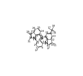 Cc1cc2c3c(c1)-n1c(C)c(C)c4cc(C(C)(C)C)cc(c41)B3c1cccc3c(C)c(C)n-2c13